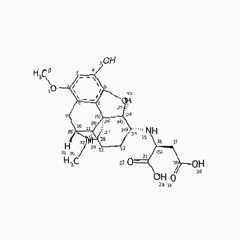 COc1cc(O)c2c3c1C[C@@H]1[C@@H]4CC[C@@H](N[C@@H](CC(=O)O)C(=O)O)[C@H](O2)[C@]34CCN1C